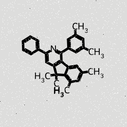 Cc1cc(C)cc(-c2nc(-c3ccccc3)cc3c2-c2cc(C)cc(C)c2C3(C)C)c1